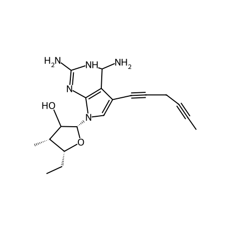 CC#CCC#Cc1cn([C@@H]2O[C@H](CC)[C@H](C)C2O)c2c1C(N)NC(N)=N2